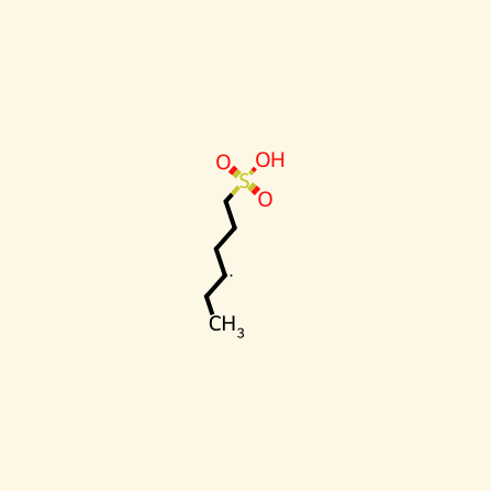 CC[CH]CCCS(=O)(=O)O